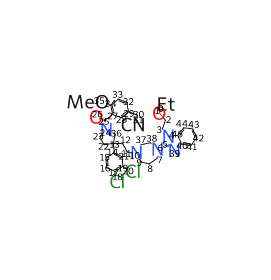 CCOCCn1c(N2CCCN(CCC3(c4ccc(Cl)c(Cl)c4)CCN(C(=O)c4cc(CC#N)ccc4OC)C3)CC2)nc2ccccc21